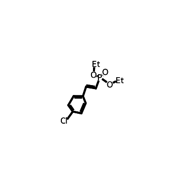 CCOP(=O)(/C=C/c1ccc(Cl)cc1)OCC